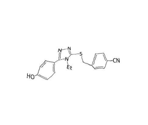 CCn1c(SCc2ccc(C#N)cc2)nnc1-c1ccc(O)cc1